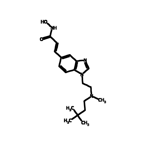 CN(CCn1cnc2cc(C=CC(=O)NO)ccc21)CCC(C)(C)C